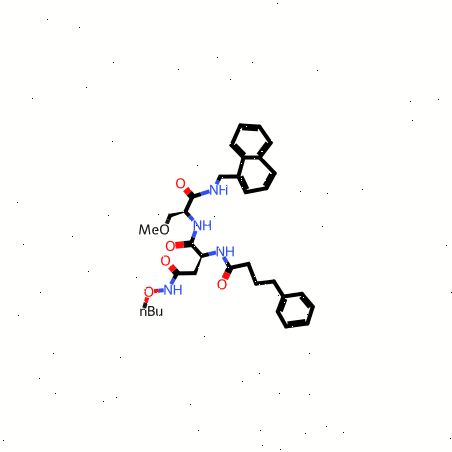 CCCCONC(=O)C[C@H](NC(=O)CCCc1ccccc1)C(=O)N[C@@H](COC)C(=O)NCc1cccc2ccccc12